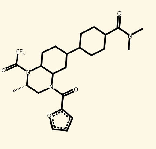 C[C@H]1CN(C(=O)c2ccco2)C2CC(C3CCC(C(=O)N(C)C)CC3)CCC2N1C(=O)C(F)(F)F